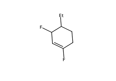 CCC1CCC(F)=CC1F